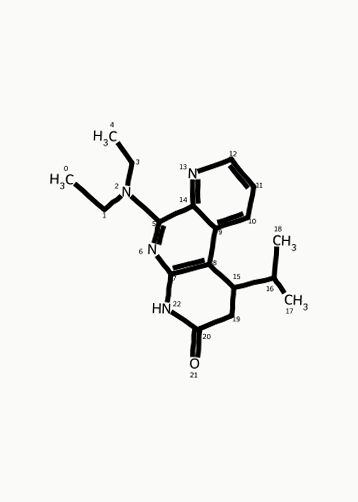 CCN(CC)c1nc2c(c3cccnc13)C(C(C)C)CC(=O)N2